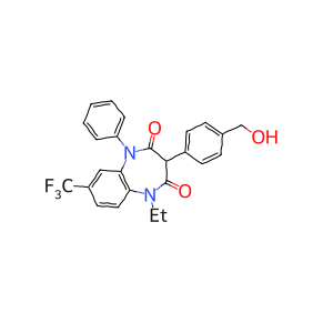 CCN1C(=O)C(c2ccc(CO)cc2)C(=O)N(c2ccccc2)c2cc(C(F)(F)F)ccc21